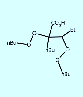 CCCCOOC(CC)C(CCCC)(OOCCCC)C(=O)O